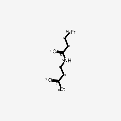 CCC(=O)CCNC(=O)CCC(C)C